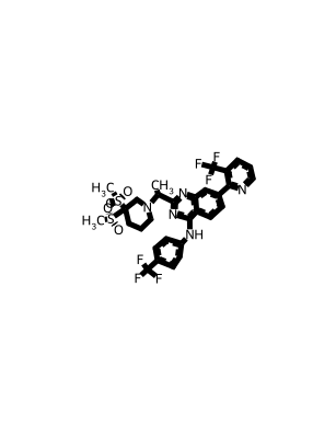 CC(c1nc(Nc2ccc(C(F)(F)F)cc2)c2ccc(-c3ncccc3C(F)(F)F)cc2n1)N1CCCC(S(C)(=O)=O)(S(C)(=O)=O)C1